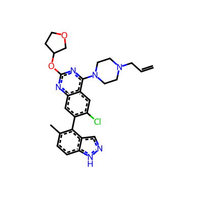 C=CCN1CCN(c2nc(OC3CCOC3)nc3cc(-c4c(C)ccc5[nH]ncc45)c(Cl)cc23)CC1